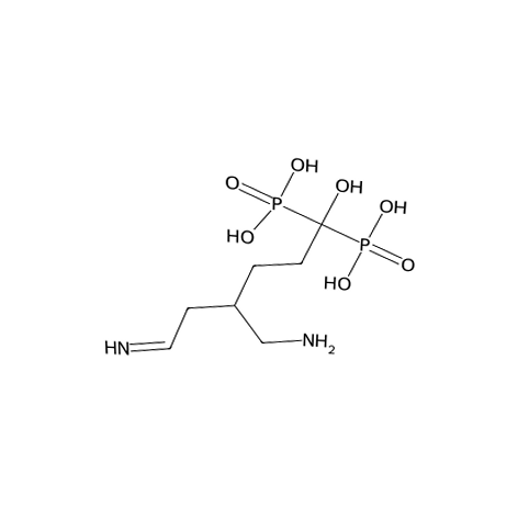 N=CCC(CN)CCC(O)(P(=O)(O)O)P(=O)(O)O